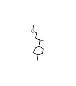 COCCN(C)[C@H]1CC[C@@H](C)CC1